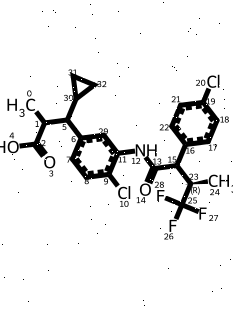 CC(C(=O)O)C(c1ccc(Cl)c(NC(=O)C(c2ccc(Cl)cc2)[C@@H](C)C(F)(F)F)c1)C1CC1